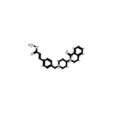 COC(=O)C=Cc1ccc(CN2CCC(N3CCc4ccccc4C3=O)CC2)cc1